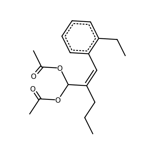 CCCC(=Cc1ccccc1CC)C(OC(C)=O)OC(C)=O